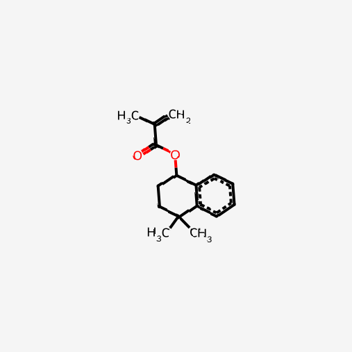 C=C(C)C(=O)OC1CCC(C)(C)c2ccccc21